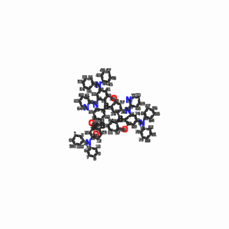 c1ccc(N(c2ccccc2)c2cc3c4c(c2)Oc2cc5c(cc2B4c2ccccc2O3)B2c3cc4c(cc3Oc3cc(N(c6ccccc6)c6ccccc6)cc(c32)N5c2ccccn2)N(c2ccccn2)c2cc(N(c3ccccc3)c3ccccc3)cc3c2B4c2ccccc2O3)cc1